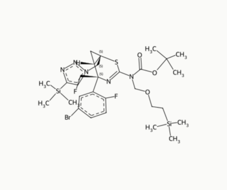 CC(C)(C)OC(=O)N(COCC[Si](C)(C)C)C1=N[C@](CF)(c2cc(Br)ccc2F)[C@@H]2C[C@]2(Cn2cc([Si](C)(C)C)nn2)S1